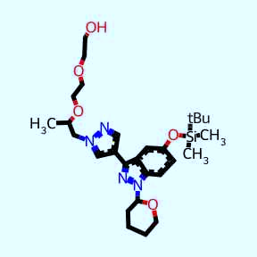 CC(Cn1cc(-c2nn(C3CCCCO3)c3ccc(O[Si](C)(C)C(C)(C)C)cc23)cn1)OCCOCCO